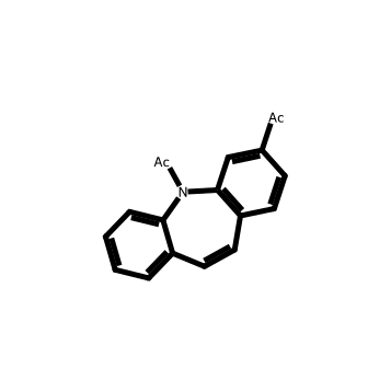 CC(=O)c1ccc2c(c1)N(C(C)=O)c1ccccc1C=C2